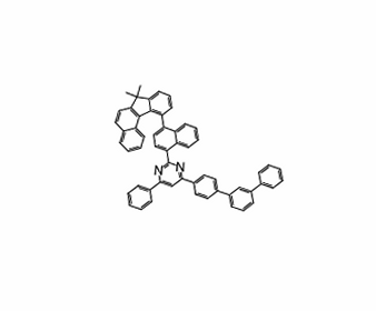 CC1(C)c2cccc(-c3ccc(-c4nc(-c5ccccc5)cc(-c5ccc(-c6cccc(-c7ccccc7)c6)cc5)n4)c4ccccc34)c2-c2c1ccc1ccccc21